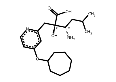 CC(C)C[C@H](N)[C@](O)(Cc1cc(OC2CCCCCC2)ccn1)C(=O)O